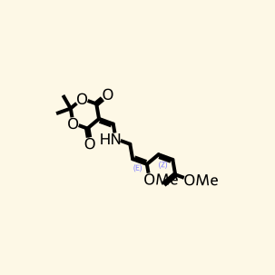 C=C(/C=C\C(=C/CNC=C1C(=O)OC(C)(C)OC1=O)OC)OC